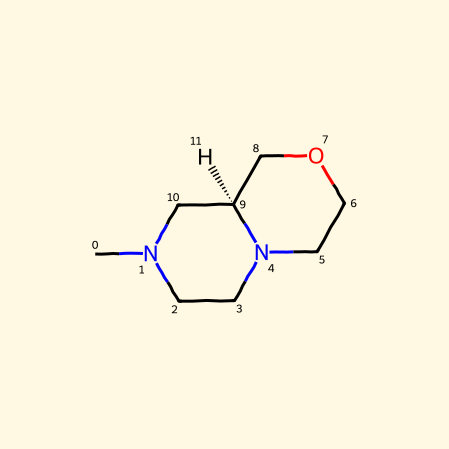 CN1CCN2CCOC[C@@H]2C1